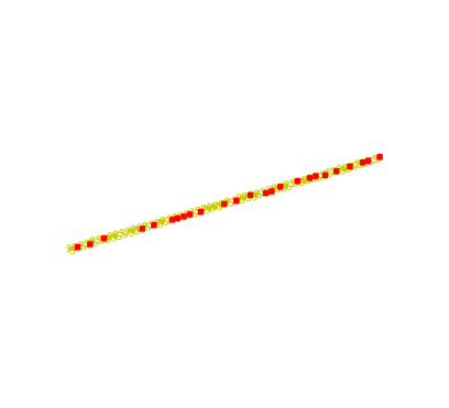 S=S=S=S=S=S=S=S=S=S=S=S=S=S=S=S=S=S=S=S=S=S=S=S=S=S=S=S=S=S=S=S=S=S=S=S=S=S=S=S=S=S=S=S=S=S=S=S=S=S=S=S=S=S=S=S=S=S=S=S=S=S=S=S=S=S=S=S=S=S=S=S=S=S=S=S=S=S=S=S=S=S=S=S=S=S=S=S=S=S=S=S=S=S=S=S=S=S=S=S=S=S=S=S=S=S=S